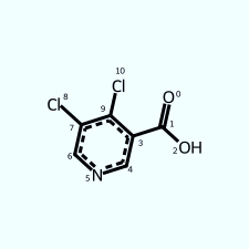 O=C(O)c1cncc(Cl)c1Cl